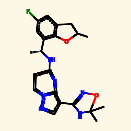 CC1Cc2cc(F)cc([C@@H](C)Nc3ccn4ncc(C5=NOC(C)(C)N5)c4n3)c2O1